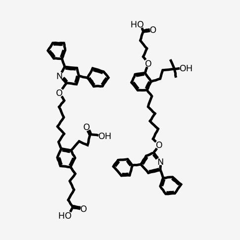 CC(C)(O)CCc1c(CCCCCCOc2cc(-c3ccccc3)cc(-c3ccccc3)n2)cccc1OCCCC(=O)O.O=C(O)CCCCc1ccc(CCCCCCOc2cc(-c3ccccc3)cc(-c3ccccc3)n2)c(CCC(=O)O)c1